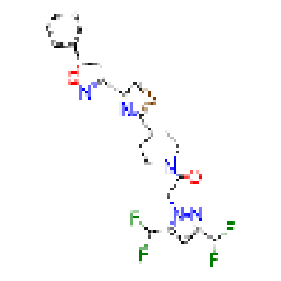 O=C(Cn1nc(C(F)F)cc1C(F)F)N1CCC(c2nc(C3=NO[C@@H](c4[c]cccc4)C3)cs2)CC1